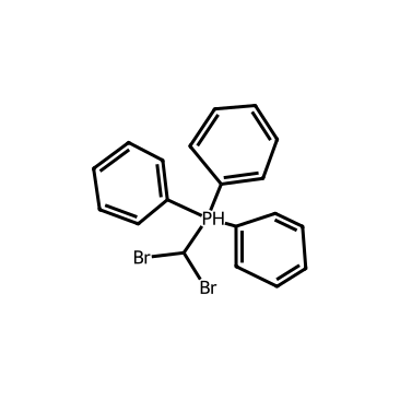 BrC(Br)[PH](c1ccccc1)(c1ccccc1)c1ccccc1